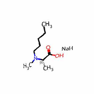 CCCCCN(C)[C@@H](C)C(=O)O.[NaH]